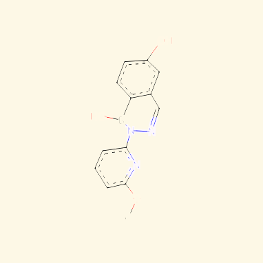 COc1cccc(N2N=Cc3cc(O)ccc3B2O)n1